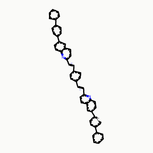 C(=C\c1ccc2cc(-c3ccc(-c4ccccc4)cc3)ccc2n1)/c1ccc(/C=C/c2ccc3cc(-c4ccc(-c5ccccc5)cc4)ccc3n2)cc1